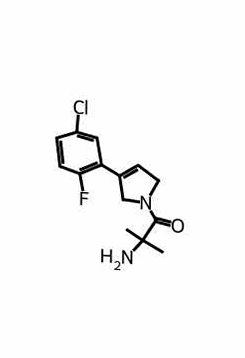 CC(C)(N)C(=O)N1CC=C(c2cc(Cl)ccc2F)C1